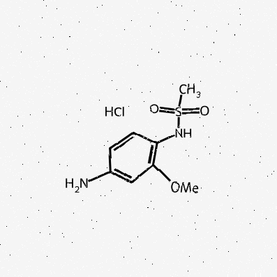 COc1cc(N)ccc1NS(C)(=O)=O.Cl